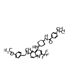 COc1ccc(CN(C)c2ccc3nc(C(F)(F)F)cc(NC4CCC(NC(=O)c5ccc(N(C)C)cc5)CC4)c3c2)cc1